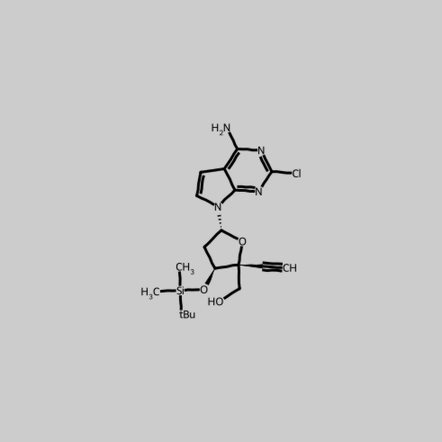 C#C[C@]1(CO)O[C@@H](n2ccc3c(N)nc(Cl)nc32)C[C@@H]1O[Si](C)(C)C(C)(C)C